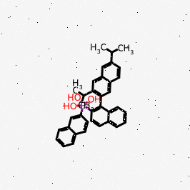 CC(C)c1ccc2cc(-c3c(P(O)(O)(O)c4ccc5ccccc5c4)ccc4ccccc34)c(C(C)C)cc2c1